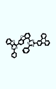 c1ccc(-c2nc(-c3ccc4c5ccccc5c5ccccc5c4c3)nc(-c3cccc4oc5cc(-c6nc(-c7ccccc7)nc7c6oc6ccccc67)ccc5c34)n2)cc1